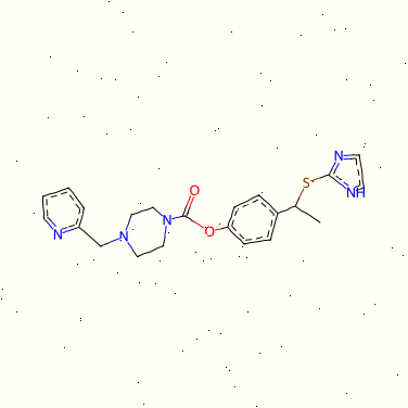 CC(Sc1ncc[nH]1)c1ccc(OC(=O)N2CCN(Cc3ccccn3)CC2)cc1